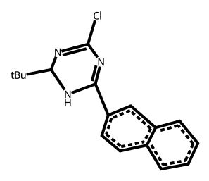 CC(C)(C)C1N=C(Cl)N=C(c2ccc3ccccc3c2)N1